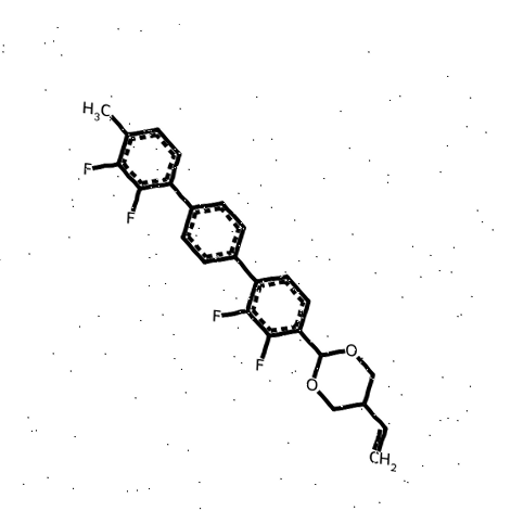 C=CC1COC(c2ccc(-c3ccc(-c4ccc(C)c(F)c4F)cc3)c(F)c2F)OC1